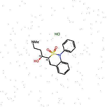 CNCC[C@H](O)[C@@H]1Cc2ccccc2N(c2ccccc2)S1(=O)=O.Cl